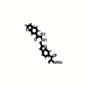 CCC(NCc1cc2ccc(C(=O)C(C)NC)cc2o1)C(=O)c1ccc2ccoc2c1